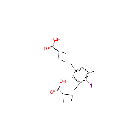 Cc1cc(C)c(I)c(C)c1.O=C(O)C1CCC1.O=C(O)C1CCC1